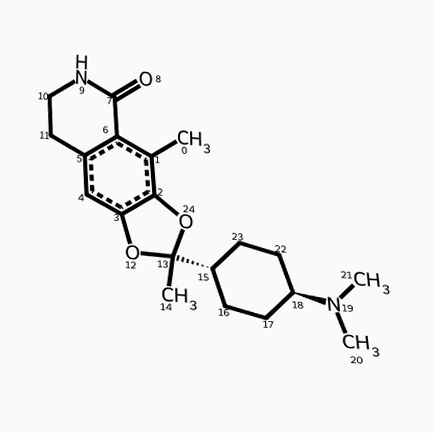 Cc1c2c(cc3c1C(=O)NCC3)OC(C)([C@H]1CC[C@H](N(C)C)CC1)O2